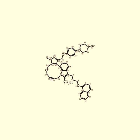 CCOC(=O)c1c(CCCOc2cccc3ccccc23)c2cccc3c2n1C/C=C\COCc1c-3c(COc2ccc(N3CCN(C(C)=O)CC3)cc2)nn1C